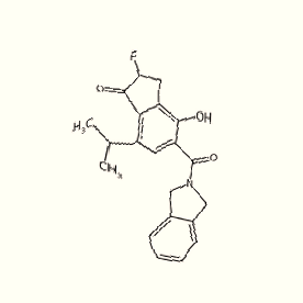 CC(C)c1cc(C(=O)N2Cc3ccccc3C2)c(O)c2c1C(=O)C(F)C2